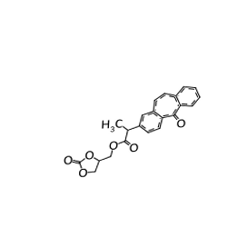 CC(C(=O)OCC1COC(=O)O1)c1ccc2c(=O)c3ccccc3ccc2c1